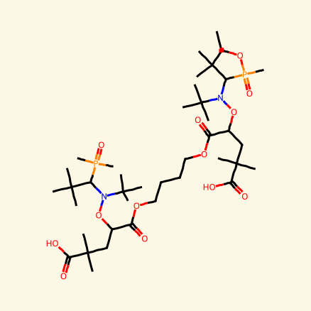 CCOP(C)(=O)C(N(OC(CC(C)(C)C(=O)O)C(=O)OCCCCOC(=O)C(CC(C)(C)C(=O)O)ON(C(C(C)(C)C)P(C)(C)=O)C(C)(C)C)C(C)(C)C)C(C)(C)C